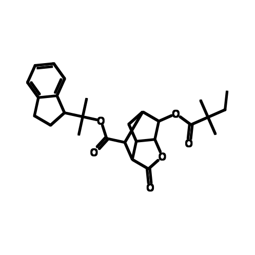 CCC(C)(C)C(=O)OC1C2CC3C1OC(=O)C3C2C(=O)OC(C)(C)C1CCc2ccccc21